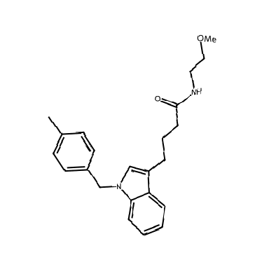 COCCNC(=O)CCCc1cn(Cc2ccc(C)cc2)c2ccccc12